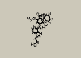 Cc1cc(Nc2ncnc3c2ncn3CCO)c(=O)n2c1C(=O)NC21CCCCC1